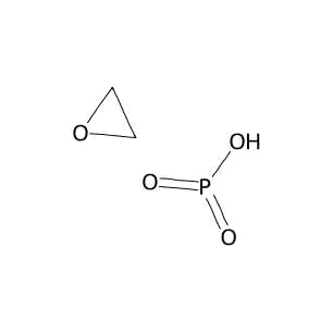 C1CO1.O=P(=O)O